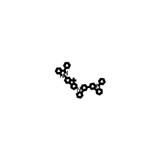 CC1(C)c2cc(-c3nc(-c4ccccc4)c4ccccc4n3)ccc2-c2ccc(-n3c4ccccc4c4cc(-c5ccc6c(c5)c5ccccc5n6-c5ccccc5)ccc43)cc21